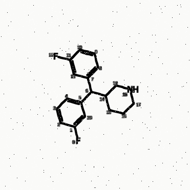 Fc1cccc(C(c2cccc(F)c2)C2CCCNC2)c1